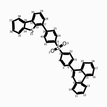 O=S(=O)(c1ccc(-c2cc3ccccc3c3ccccc23)cc1)c1ccc(-c2cccc3c2sc2ccccc23)cc1